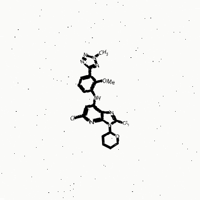 COc1c(Nc2cc(Cl)nc3c2nc(C(F)(F)F)n3C2CCCCO2)cccc1-c1nnn(C)n1